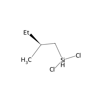 CC[C@H](C)C[SiH](Cl)Cl